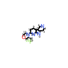 Cn1c2ccncc2c2ccc(N3CCOC[C@@H]3C[18F])nc21